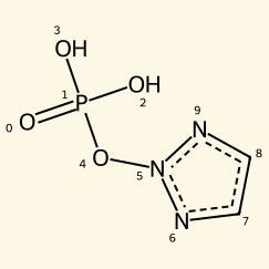 O=P(O)(O)On1nccn1